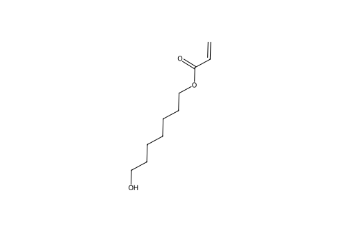 C=CC(=O)OCCCCCCCO